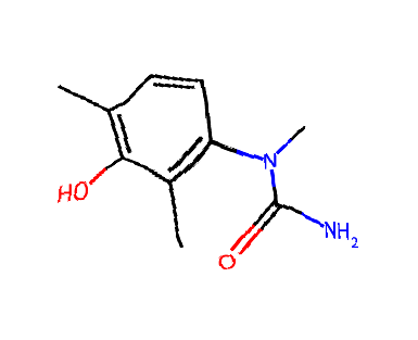 Cc1ccc(N(C)C(N)=O)c(C)c1O